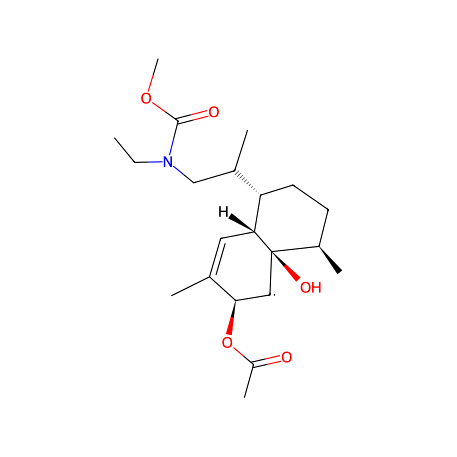 CCN(CC(C)[C@@H]1CC[C@@H](C)[C@]2(O)[CH][C@@H](OC(C)=O)C(C)=C[C@H]12)C(=O)OC